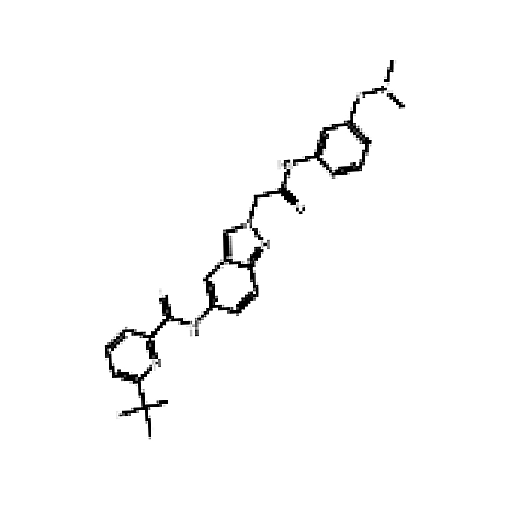 CN(C)Sc1cccc(NC(=O)Cn2cc3cc(NC(=O)c4cccc(C(F)(F)F)n4)ccc3n2)c1